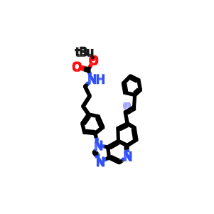 CC(C)(C)OC(=O)NCCCc1ccc(-n2cnc3cnc4ccc(/C=C/c5ccccc5)cc4c32)cc1